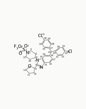 O=S(=O)(N1CCC(n2c(C3CCCO3)nc3ccc(C(c4ccc(Cl)cc4)c4ccc(Cl)cc4)cc32)CC1)C(F)(F)F